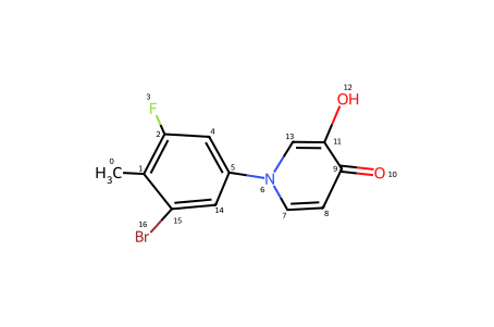 Cc1c(F)cc(-n2ccc(=O)c(O)c2)cc1Br